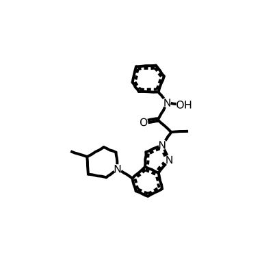 CC1CCN(c2cccc3nn(C(C)C(=O)N(O)c4ccccc4)cc23)CC1